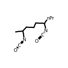 CCCC(CCCC(C)N=C=O)N=C=O